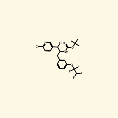 CC(C)(C)OC(=O)NC(Cc1cccc(OC(F)(F)C(F)F)c1)C(O)c1ccc(Cl)nc1